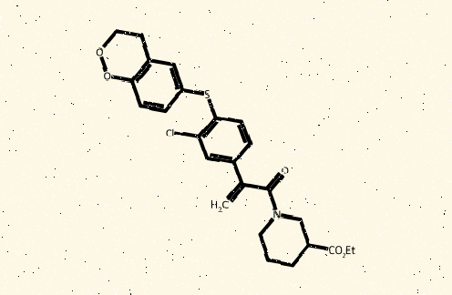 C=C(C(=O)N1CCCC(C(=O)OCC)C1)c1ccc(Sc2ccc3c(c2)CCOO3)c(Cl)c1